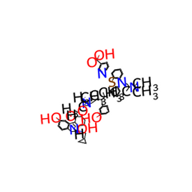 CC(CN1c2ccccc2Sc2ccccc21)N(C)C.CC[C@@H](c1cccc(O)c1)[C@@H](C)CN(C)C.O=C(O)c1cccnc1.O=C1CC[C@@]2(O)[C@H]3Cc4ccc(O)c5c4[C@@]2(CCN3CC2CC2)[C@H]1O5